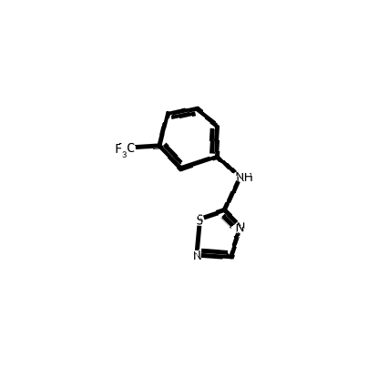 FC(F)(F)c1cccc(Nc2ncns2)c1